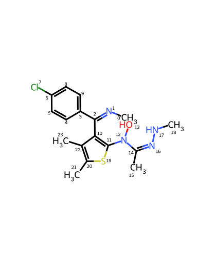 C/N=C(/c1ccc(Cl)cc1)c1c(N(O)/C(C)=N\NC)sc(C)c1C